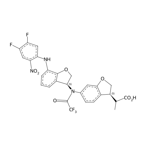 CC(C(=O)O)[C@@H]1COc2cc(N(C(=O)C(F)(F)F)[C@@H]3COc4c(Nc5cc(F)c(F)cc5[N+](=O)[O-])cccc43)ccc21